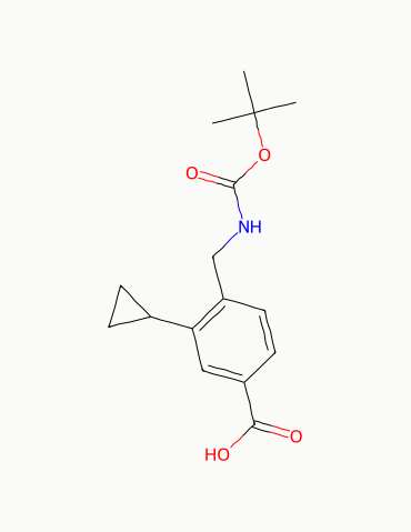 CC(C)(C)OC(=O)NCc1ccc(C(=O)O)cc1C1CC1